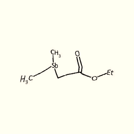 CCOC(=O)[CH2][Sb]([CH3])[CH3]